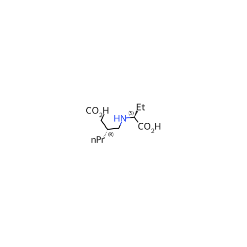 CCC[C@@H](CN[C@@H](CC)C(=O)O)CC(=O)O